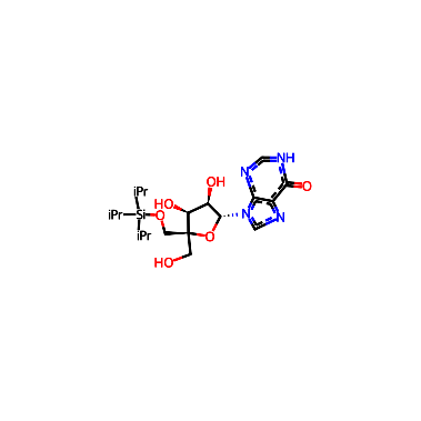 CC(C)[Si](OC[C@]1(CO)O[C@@H](n2cnc3c(=O)[nH]cnc32)[C@H](O)[C@@H]1O)(C(C)C)C(C)C